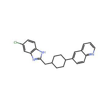 Clc1ccc2[nH]c(CC3CCC(c4ccc5ncccc5c4)CC3)nc2c1